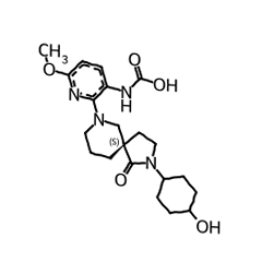 COc1ccc(NC(=O)O)c(N2CCC[C@]3(CCN(C4CCC(O)CC4)C3=O)C2)n1